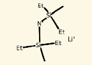 CC[Si](C)(CC)[N-][Si](C)(CC)CC.[Li+]